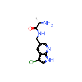 C[C@H](N)C(=O)NCc1cnc2[nH]cc(Cl)c2c1